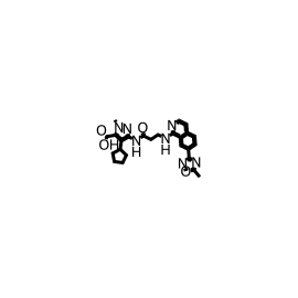 Cc1nc(-c2ccc3ccnc(NCCC(=O)Nc4nn(C)c(C(=O)O)c4C4CCCC4)c3c2)no1